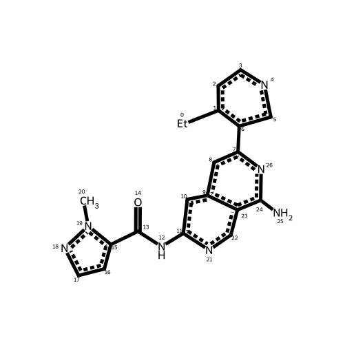 CCc1ccncc1-c1cc2cc(NC(=O)c3ccnn3C)ncc2c(N)n1